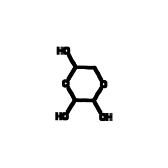 OC1COC(O)C(O)O1